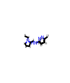 CCN1CCCC1CNc1ccc(C)nn1